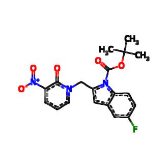 CC(C)(C)OC(=O)n1c(Cn2cccc([N+](=O)[O-])c2=O)cc2cc(F)ccc21